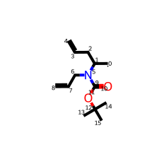 [CH2]C(CC=C)N(CC=C)C(=O)OC(C)(C)C